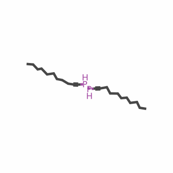 CCCCCCCCCC#CPPC#CCCCCCCCCC